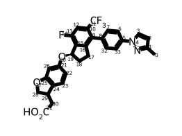 Cc1ccn(-c2ccc(-c3c(C(F)(F)F)cc(F)c4c3CC[C@H]4Oc3ccc4c(c3)OCC4CC(=O)O)cc2)n1